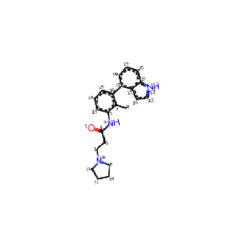 Cc1c(NC(=O)CCN2CCCC2)cccc1-c1cccc2[nH]ccc12